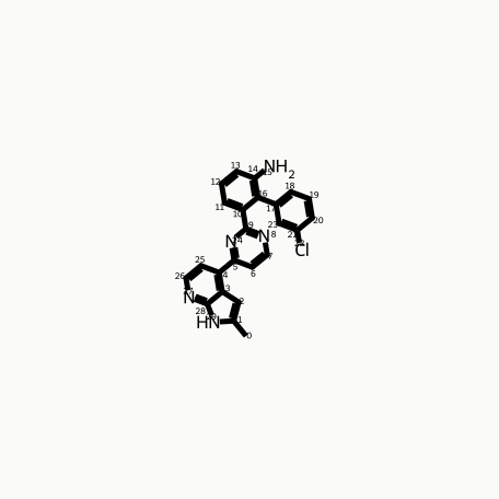 Cc1cc2c(-c3ccnc(-c4cccc(N)c4-c4cccc(Cl)c4)n3)ccnc2[nH]1